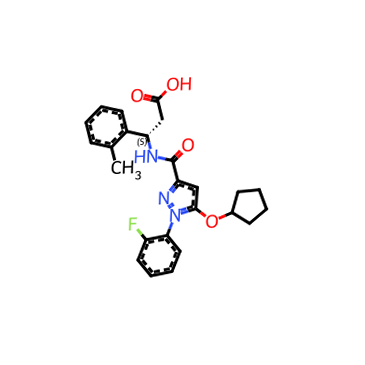 Cc1ccccc1[C@H](CC(=O)O)NC(=O)c1cc(OC2CCCC2)n(-c2ccccc2F)n1